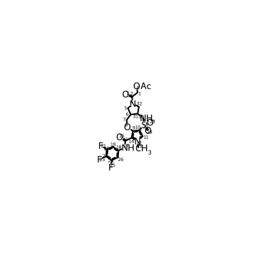 CC(=O)OCC(=O)N1CC2COc3c(cn(C)c3C(=O)Nc3cc(F)c(F)c(F)c3)S(=O)(=O)NC2C1